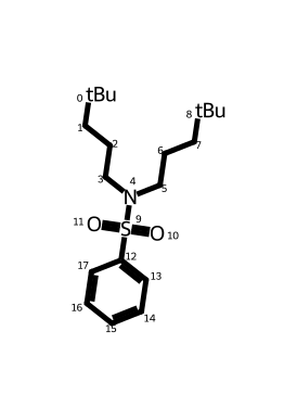 CC(C)(C)CCCN(CCCC(C)(C)C)S(=O)(=O)c1ccccc1